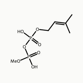 COP(=O)(O)OP(=O)(O)OCC=C(C)C